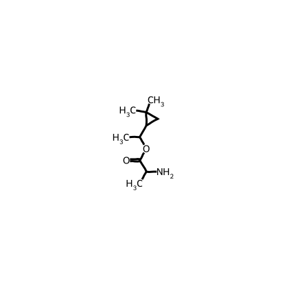 CC(N)C(=O)OC(C)C1CC1(C)C